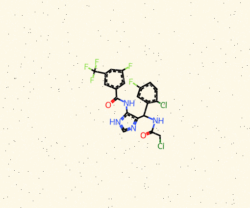 O=C(CCl)NC(c1cc(F)ccc1Cl)c1nc[nH]c1NC(=O)c1cc(F)cc(C(F)(F)F)c1